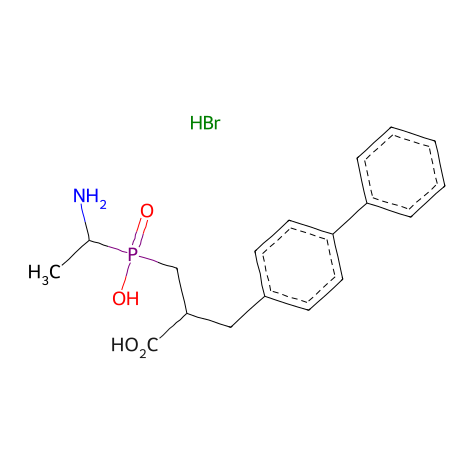 Br.CC(N)P(=O)(O)CC(Cc1ccc(-c2ccccc2)cc1)C(=O)O